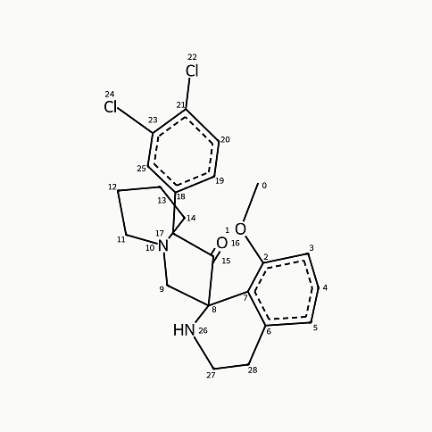 COc1cccc2c1C(CN1CCCC1)(C(=O)Cc1ccc(Cl)c(Cl)c1)NCC2